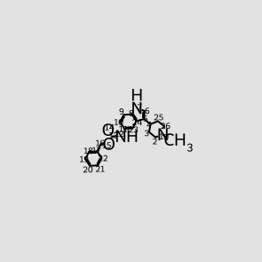 CN1CCC(c2c[nH]c3ccc(NC(=O)OCc4ccccc4)cc23)CC1